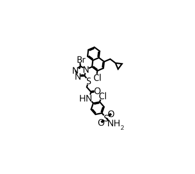 NS(=O)(=O)c1ccc(NC(=O)CSc2nnc(Br)n2-c2c(Cl)cc(CC3CC3)c3ccccc23)c(Cl)c1